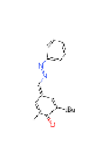 CC1=CC(=CN=Nc2ccccc2)C=C(C(C)(C)C)C1=O